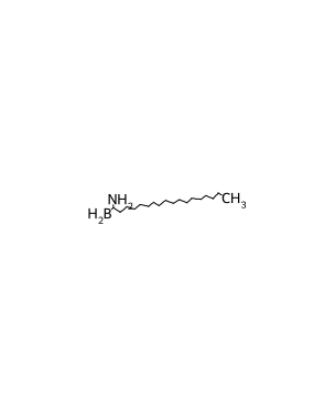 BC(N)CCCCCCCCCCCCCCCCC